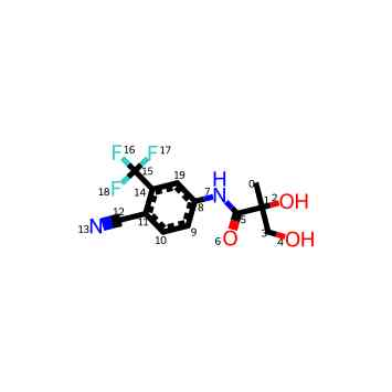 CC(O)(CO)C(=O)Nc1ccc(C#N)c(C(F)(F)F)c1